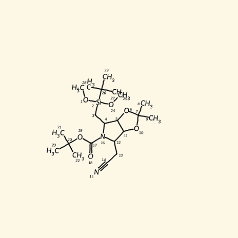 CO[Si](CC1C2OC(C)(C)OC2C(CC#N)N1C(=O)OC(C)(C)C)(OC)C(C)(C)C